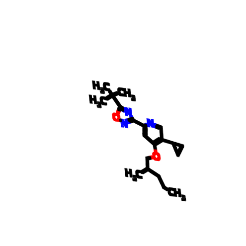 CCCC(C)COc1cc(-c2noc(C(C)(C)C)n2)ncc1C1CC1